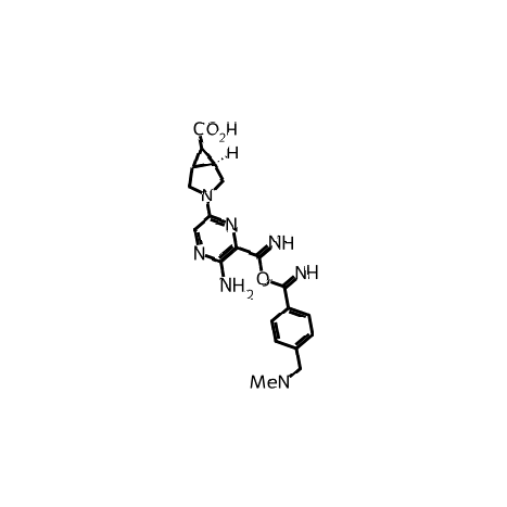 CNCc1ccc(C(=N)OC(=N)c2nc(N3CC4C(C(=O)O)[C@H]4C3)cnc2N)cc1